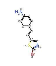 Nc1ccc(C=Cc2cnc(Br)s2)cc1